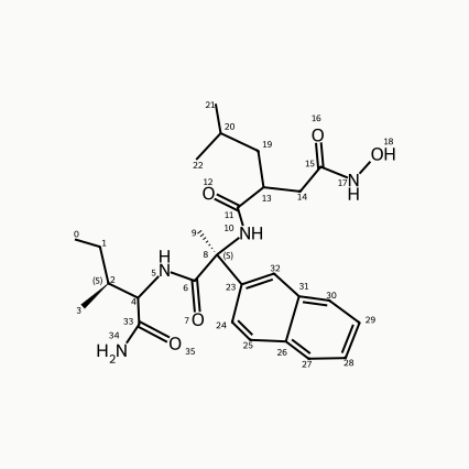 CC[C@H](C)C(NC(=O)[C@@](C)(NC(=O)C(CC(=O)NO)CC(C)C)c1ccc2ccccc2c1)C(N)=O